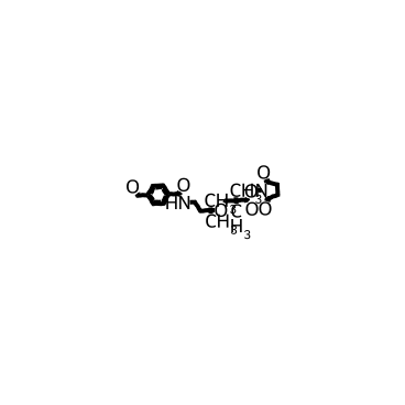 CC(C)(CCNC(=O)c1ccc(C=O)cc1)OCC(C)(C)C(=O)ON1C(=O)CCC1=O